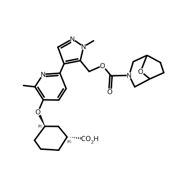 Cc1nc(-c2cnn(C)c2COC(=O)N2CC3CCC(C2)O3)ccc1O[C@@H]1CCC[C@@H](C(=O)O)C1